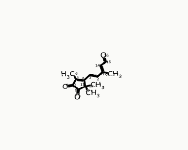 CC(C=CC1=C(C)C(=O)C(=O)C1(C)C)=CC=O